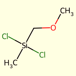 COC[Si](C)(Cl)Cl